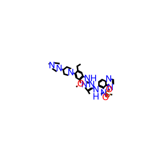 CCc1cc(Nc2ncc(C)c(Nc3ccc4nccnc4c3N(C)S(C)(=O)=O)n2)c(OC)cc1N1CCC(N2CCN(C)CC2)CC1